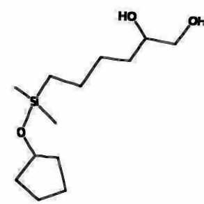 C[Si](C)(CCCCC(O)CO)OC1CCCC1